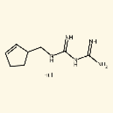 Cl.N=C(N)NC(=N)NCC1C=CCC1